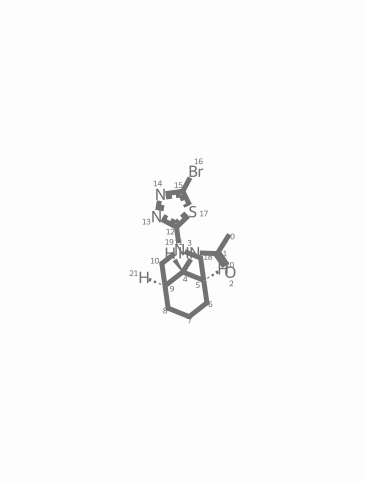 CC(=O)N[C@@H]1[C@@H]2CCC[C@H]1CN(c1nnc(Br)s1)C2